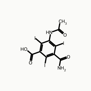 CC(=O)Nc1c(I)c(C(N)=O)c(I)c(C(=O)O)c1I